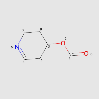 O=[C]OC1CC=NCC1